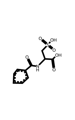 O=C(NC(CS(=O)(=O)O)C(=O)O)c1ccccc1